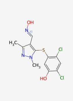 Cc1nn(C)c(Sc2cc(O)c(Cl)cc2Cl)c1/C=N/O